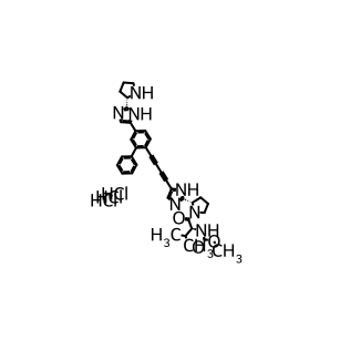 COC(=O)N[C@H](C(=O)N1CCC[C@H]1c1ncc(C#CC#Cc2ccc(-c3cnc([C@@H]4CCCN4)[nH]3)cc2-c2ccccc2)[nH]1)C(C)C.Cl.Cl.Cl